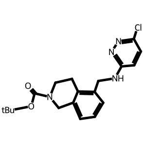 CC(C)(C)OC(=O)N1CCc2c(CNc3ccc(Cl)nn3)cccc2C1